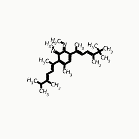 C/N=C1/C(/C(C)=C/C=C(\C)C(C)(C)C)=CC(C)=C(/C(C)=C/C=C(\C)C(C)C)/C1=N/C